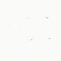 Nc1ccn([C@H]2CC[C@@H](CO)O2)c(=O)n1.Nc1ccn([C@H]2CC[C@@H](CO)O2)c(=O)n1